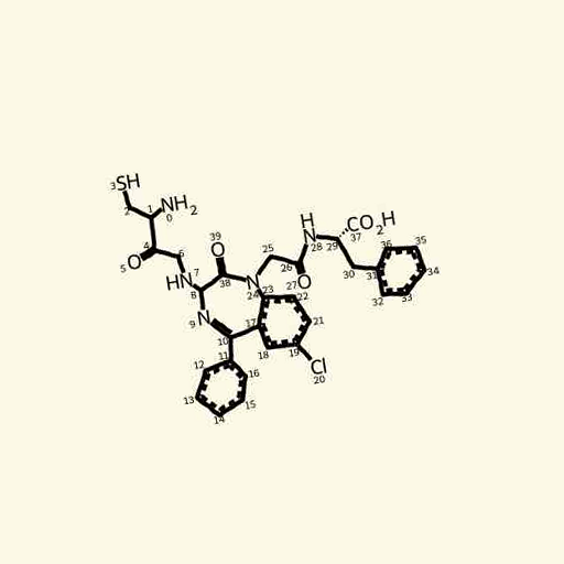 NC(CS)C(=O)CNC1N=C(c2ccccc2)c2cc(Cl)ccc2N(CC(=O)N[C@@H](Cc2ccccc2)C(=O)O)C1=O